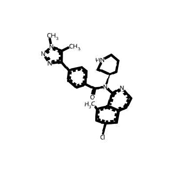 Cc1cc(Cl)cc2ccnc(N(C(=O)c3ccc(-c4nnn(C)c4C)cc3)[C@@H]3CCCNC3)c12